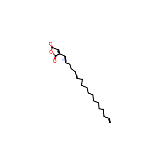 C=CCCCCCCCCCCCCCC/C=C/C1=CC(=O)OC1=O